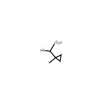 CC1(C(O)C(=O)O)CC1